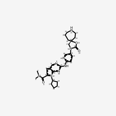 CN(C)C(=O)c1cc2cnc(Nc3ccc(N4C[C@]5(CCCNCC5)OC4=O)cn3)nc2n1C1CCCC1